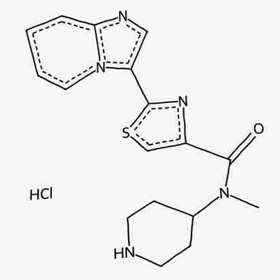 CN(C(=O)c1csc(-c2cnc3ccccn23)n1)C1CCNCC1.Cl